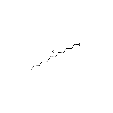 CCCCCCCCCCCC[S-].[K+]